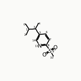 CC(C)C(C)c1ccc(S(C)(=O)=O)nc1